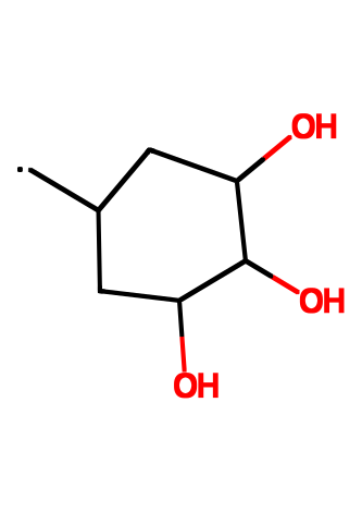 [CH2]C1CC(O)C(O)C(O)C1